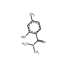 Cc1ccc(C(=O)N(C)C)c(O)c1